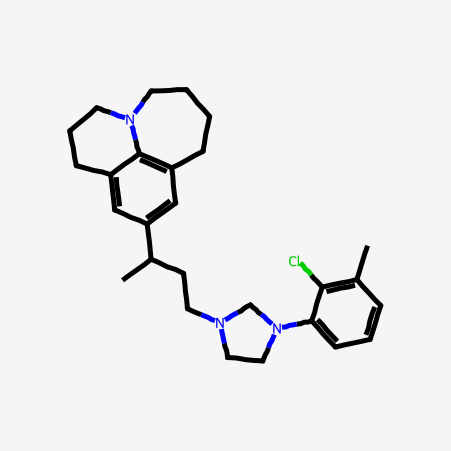 Cc1cccc(N2CCN(CCC(C)c3cc4c5c(c3)CCCN5CCCC4)C2)c1Cl